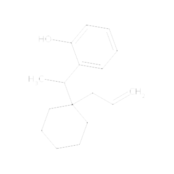 C=CCC1(C(C)c2ccccc2O)CCCCC1